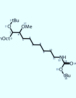 CCCCCCCCC(OC(C)(C)C)C(CCCCCCCNC(=O)OC(C)(C)C)OC